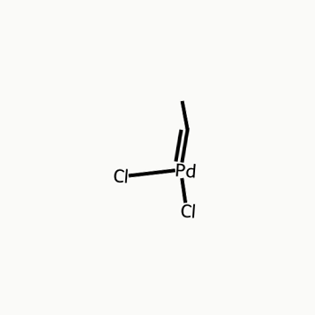 C[CH]=[Pd]([Cl])[Cl]